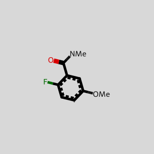 CNC(=O)c1cc(OC)[c]cc1F